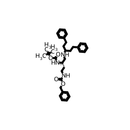 CC(C)(C)OC(=O)N[C@@H](CCNC(=O)OCc1ccccc1)CNC(CCc1ccccc1)CCc1ccccc1